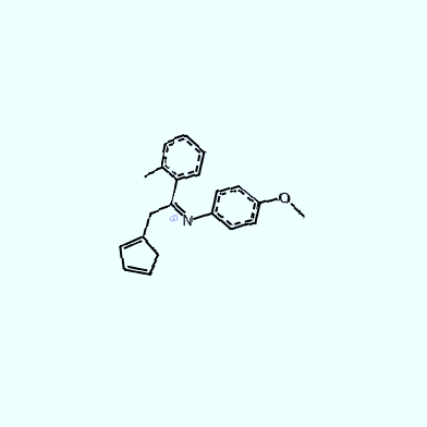 COc1ccc(/N=C(/CC2=CC=CC2)c2ccccc2C)cc1